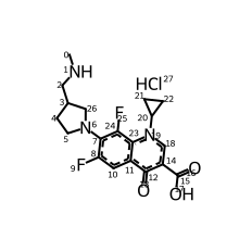 CNCC1CCN(c2c(F)cc3c(=O)c(C(=O)O)cn(C4CC4)c3c2F)C1.Cl